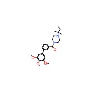 CCC(C)(C)N1CCN(C(=O)c2cccc(-c3cc(OC)c(OC)c(OC)c3)c2)CC1